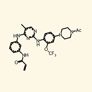 C=CC(=O)Nc1cccc(Nc2nc(Nc3ccc(N4CCN(C(C)=O)CC4)cc3OC(F)(F)F)ncc2C)c1